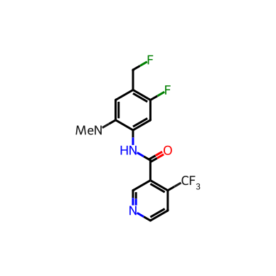 CNc1cc(CF)c(F)cc1NC(=O)c1cnccc1C(F)(F)F